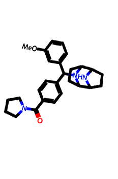 COc1cccc(C(c2ccc(C(=O)N3CCCC3)cc2)N2C3CCC2C2CCC3N2)c1